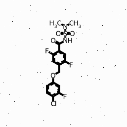 CN(C)S(=O)(=O)NC(=O)c1cc(F)c(COc2ccc(Cl)c(F)c2)cc1F